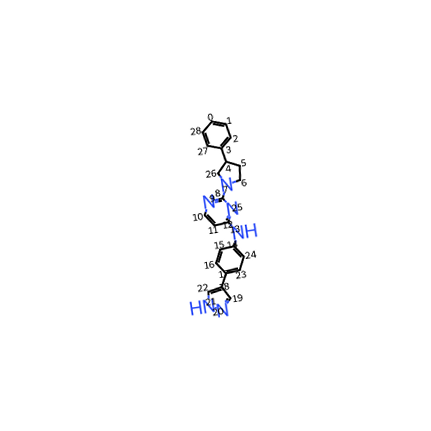 c1ccc(C2CCN(c3nccc(Nc4ccc(-c5cn[nH]c5)cc4)n3)C2)cc1